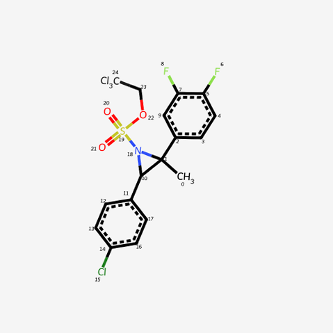 CC1(c2ccc(F)c(F)c2)C(c2ccc(Cl)cc2)N1S(=O)(=O)OCC(Cl)(Cl)Cl